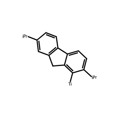 CC(C)c1ccc2c(c1)Cc1c-2ccc(C(C)C)[c]1[Ti]